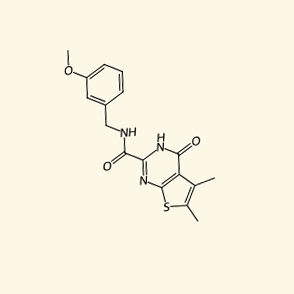 COc1cccc(CNC(=O)c2nc3sc(C)c(C)c3c(=O)[nH]2)c1